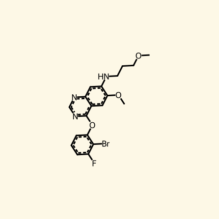 COCCCNc1cc2ncnc(Oc3cccc(F)c3Br)c2cc1OC